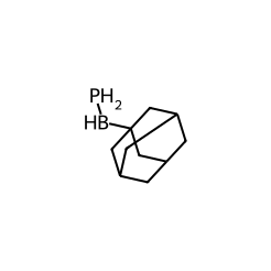 PBC12CC3CC(CC(C3)C1)C2